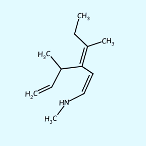 C=CC(C)C(/C=C\NC)=C(/C)CC